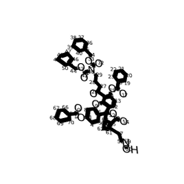 O=C(Oc1ccc2c(c1)Oc1c(ccc(OC(=O)c3ccccc3)c1C(=O)CCCN(C(=O)OCc1ccccc1)C(=O)OCc1ccccc1)C21OC(=O)c2c(CC=NO)cccc21)c1ccccc1